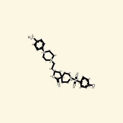 Cc1ccc(N2CCN(CC[C@H]3CC4(CCN(S(=O)(=O)c5ccc(Cl)cc5)CC4)C(=O)O3)CC2)cc1